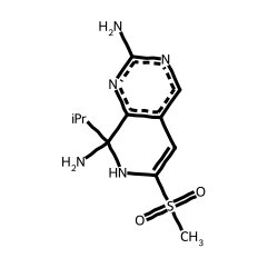 CC(C)C1(N)NC(S(C)(=O)=O)=Cc2cnc(N)nc21